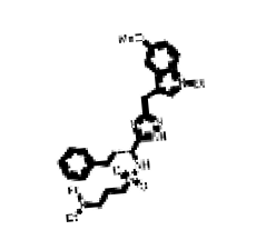 CCN(CC)CCCS(=O)(=O)N[C@H](CCc1ccccc1)c1nc(Cc2cn(CC)c3ccc(OC)cc23)n[nH]1